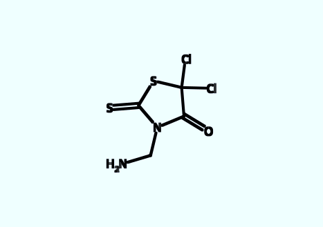 NCN1C(=O)C(Cl)(Cl)SC1=S